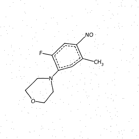 Cc1cc(N2CCOCC2)c(F)cc1N=O